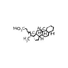 C[C@H](CCCC(=O)O)[C@H]1CC[C@H]2[C@@H]3CC[C@@H]4CCCC[C@]4(C)[C@H]3CC[C@]12C